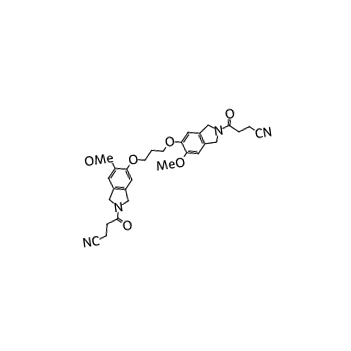 COc1cc2c(cc1OCCCOc1cc3c(cc1OC)CN(C(=O)CCC#N)C3)CN(C(=O)CCC#N)C2